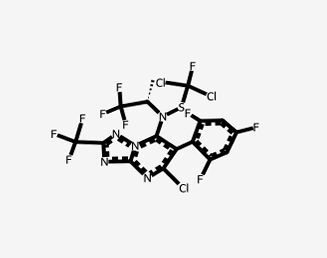 C[C@H](N(SC(F)(Cl)Cl)c1c(-c2c(F)cc(F)cc2F)c(Cl)nc2nc(C(F)(F)F)nn12)C(F)(F)F